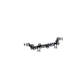 O=C(NCSCSC/N=C/[S+]([O-])CSCSCSC(=O)NCSCSC/N=C\[S+]([O-])CCO)SCCO